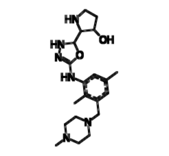 Cc1cc(CN2CCN(C)CC2)c(C)c(NC2=NNC(C3NCCC3O)O2)c1